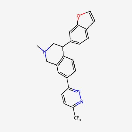 CN1Cc2cc(-c3ccc(C(F)(F)F)nn3)ccc2C(c2ccc3ccoc3c2)C1